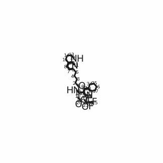 O=C(CCCCc1ccc2c(n1)NCCC2)N[C@@H](CC(=O)OC(=O)C(F)(F)F)c1cnc2c(c1)CCCC2